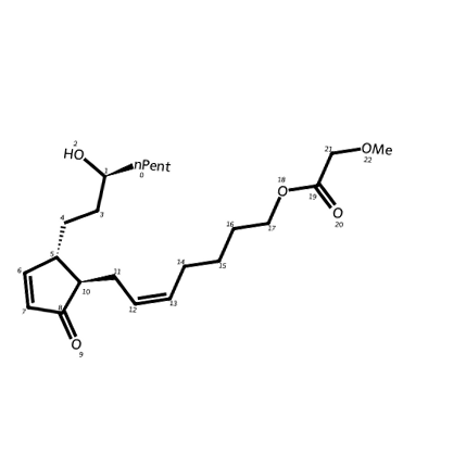 CCCCC[C@H](O)CC[C@H]1C=CC(=O)[C@@H]1C/C=C\CCCCOC(=O)COC